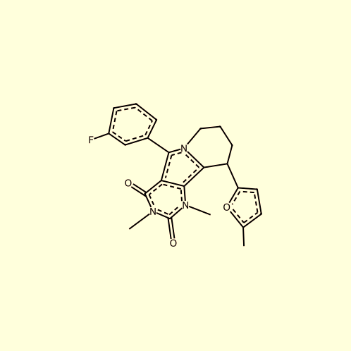 Cc1ccc(C2CCCn3c(-c4cccc(F)c4)c4c(=O)n(C)c(=O)n(C)c4c32)o1